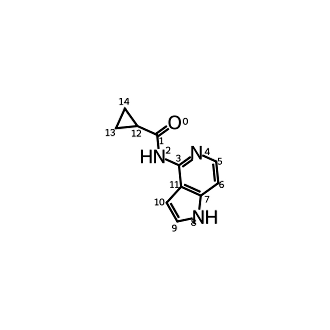 O=C(Nc1nccc2[nH]ccc12)C1CC1